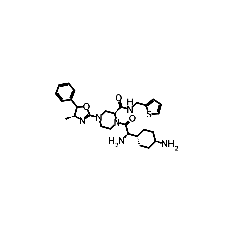 C[C@@H]1N=C(N2CCN(C(=O)[C@H](N)[C@H]3CC[C@H](N)CC3)[C@H](C(=O)NCc3cccs3)C2)OC1c1ccccc1